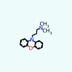 CN(C)CCCN1c2ccccc2Oc2ccccc21